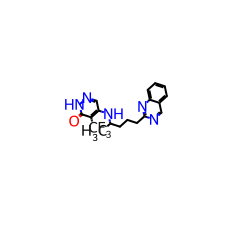 CC(CCCc1ncc2ccccc2n1)Nc1cn[nH]c(=O)c1C(F)(F)F